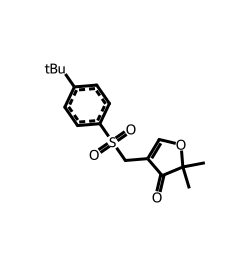 CC1(C)OC=C(CS(=O)(=O)c2ccc(C(C)(C)C)cc2)C1=O